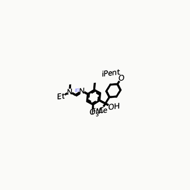 CCCC(C)OC1CCC(C(O)(c2cc(C)c(/N=C/N(C)CC)cc2OC)C(F)(F)F)CC1